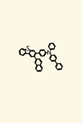 c1ccc(-c2ccc(N(c3ccccc3)c3ccc(-c4cc5sc6ccccc6c5cc4-c4ccc5ccccc5c4)cc3)cc2)cc1